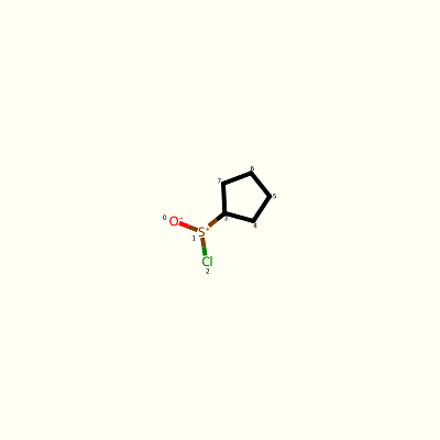 [O-][S+](Cl)C1CCCC1